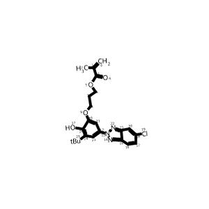 C=C(C)C(=O)OCCCOc1cc(-n2nc3ccc(Cl)cc3n2)cc(C(C)(C)C)c1O